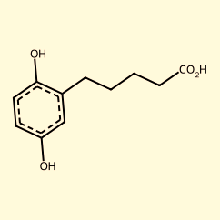 O=C(O)CCCCc1cc(O)ccc1O